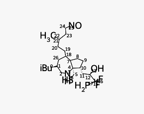 CC[C@H](C)C1CN[C@@]2(CS)C(CC[C@@H]2C[C@@H](O)C(F)(F)P)C(CCC(C)CCN=O)C1